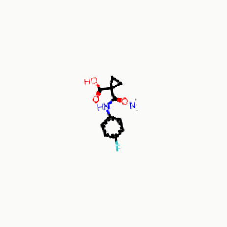 O=C(O)C1(C(=O)Nc2ccc(F)cc2)CC1.[N]